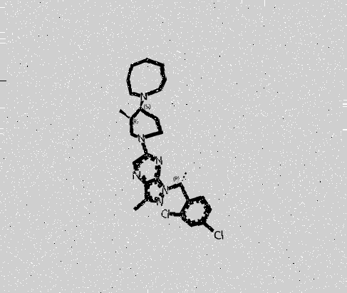 Cc1nn([C@H](C)c2ccc(Cl)cc2Cl)c2nc(N3CC[C@H](N4CCCCCCC4)[C@H](C)C3)cnc12